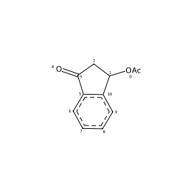 CC(=O)OC1CC(=O)c2ccccc21